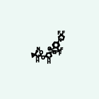 N#CC1(NC(=O)O[C@H]2C[C@@H](S(=O)(=O)c3ccc(N4CCC(F)(F)C4)cc3C(F)(F)F)CN2)CC1